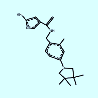 C=C(NCc1ccc(B2CC(C)(C)C(C)(C)C2)cc1C)c1cnn(C(C)(C)C)c1